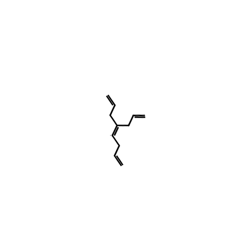 C=CC[C]=C(CC=C)CC=C